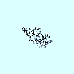 C[C@]12C(O)CC(=O)CC1CC[C@@H]1[C@@H]2CC[C@]2(C)C(=O)CC[C@@H]12